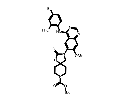 COc1cc2ncnc(Nc3ccc(Br)cc3C)c2cc1N1CC2(CCN(C(=O)OC(C)(C)C)CC2)OC1=O